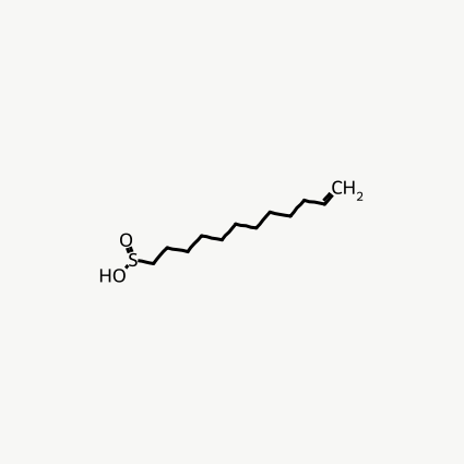 C=CCCCCCCCCCCS(=O)O